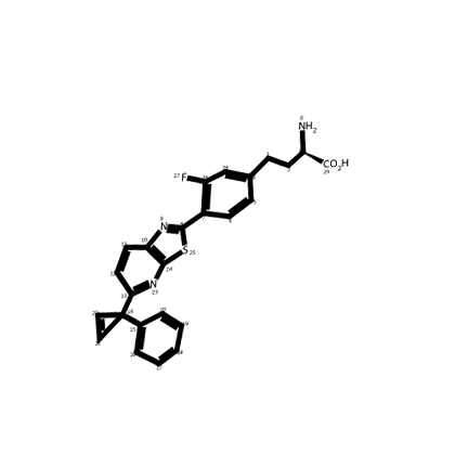 N[C@H](CCc1ccc(-c2nc3ccc(C4(c5ccccc5)C=C4)nc3s2)c(F)c1)C(=O)O